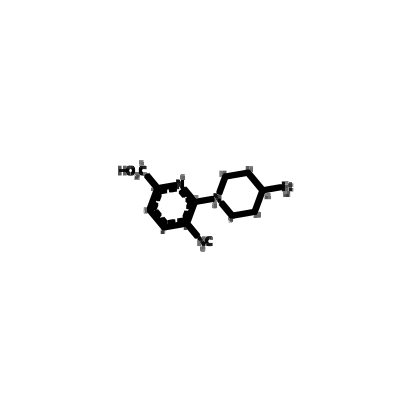 [C-]#[N+]c1ccc(C(=O)O)nc1N1CCC(CC)CC1